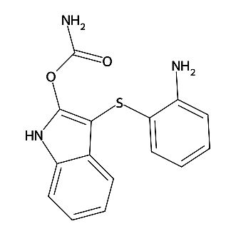 NC(=O)Oc1[nH]c2ccccc2c1Sc1ccccc1N